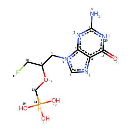 Nc1nc2c(ncn2CC(CF)OC[PH](O)(O)O)c(=O)[nH]1